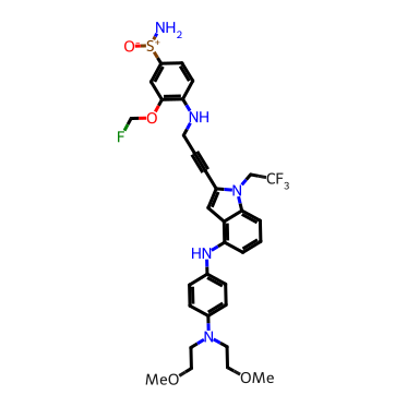 COCCN(CCOC)c1ccc(Nc2cccc3c2cc(C#CCNc2ccc([S+](N)[O-])cc2OCF)n3CC(F)(F)F)cc1